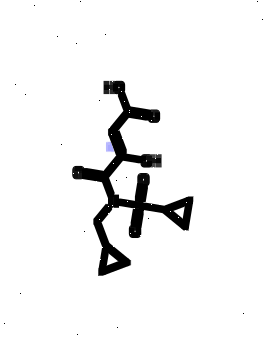 O=C(O)/C=C(\O)C(=O)N(CC1CC1)S(=O)(=O)C1CC1